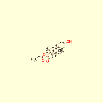 CCC(=O)O[C@@H]1C(=O)C[C@H]2[C@@H]3CC=C4CC(O)=CC[C@]4(C)[C@H]3CC[C@]12C